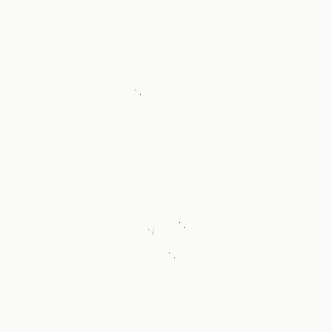 Cc1ccc(-c2nc(-c3ccc(C)cc3)nc(-c3ccc(-c4ccc5nc(-c6ccccc6)c6cccc(-c7ccccc7)c6c5c4)cc3)n2)cc1